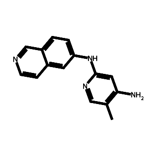 Cc1cnc(Nc2ccc3cnccc3c2)cc1N